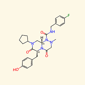 CN1CC(=O)N2[C@@H](Cc3ccc(O)cc3)C(=O)N(C3CCCC3)C[C@@H]2N1C(=O)NCc1ccc(F)cc1